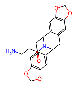 NCCC(=O)N1C2Cc3cc4c(cc3C1Cc1cc3c(cc12)OCO3)OCO4